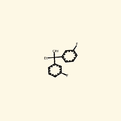 CCC(O)(c1cccc(F)c1)c1cccc(F)c1